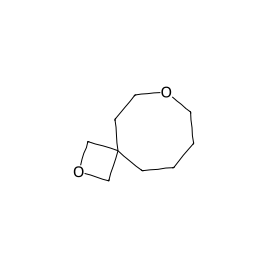 C1CCC2(CCOC1)COC2